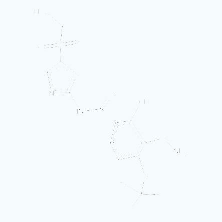 CCS(=O)(=O)c1cnc(NC(=O)c2ccc(OC(F)(F)F)c(ON)c2C)s1